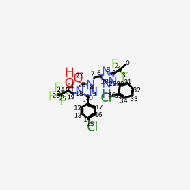 CC(F)(F)C1=NC(Cn2nc(-c3ccc(Cl)cc3)n(C[C@H](O)C(F)(F)F)c2=O)NN1c1ccccc1Cl